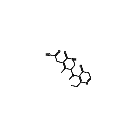 CCC1=C(N(C)C2CNC(=O)C(CC(=O)O)=C2C)C(=O)CC=N1